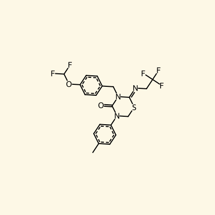 Cc1ccc(N2CSC(=NCC(F)(F)F)N(Cc3ccc(OC(F)F)cc3)C2=O)cc1